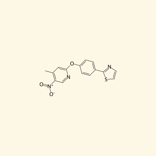 Cc1cc(Oc2ccc(-c3nccs3)cc2)ncc1[N+](=O)[O-]